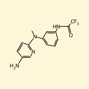 CN(c1cccc(NC(=O)C(F)(F)F)c1)c1ccc(N)cn1